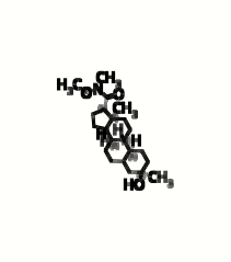 CON(C)C(=O)[C@H]1CC[C@H]2[C@@H]3CCC4C[C@](C)(O)CC[C@@H]4[C@H]3CC[C@]12C